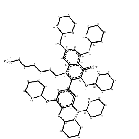 CCCCCCCCCCCCCCCCn1c(-c2cc(OC3CCCCO3)c(OC3CCCCO3)c(OC3CCCCO3)c2)c(OC2CCCCO2)c(=O)c2c(OC3CCCCO3)cc(OC3CCCCO3)cc21